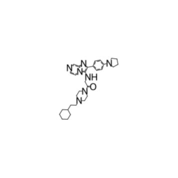 O=C(CNc1c(-c2ccc(N3CCCC3)cc2)nc2cnccn12)N1CCN(CCC2CCCCC2)CC1